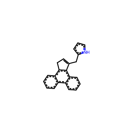 C1=C(Cc2ccc[nH]2)c2c(c3ccccc3c3ccccc23)C1